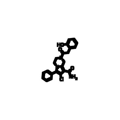 NC(=O)c1c(Cl)c(-c2ccccc2)n2c1CN(C(=O)Cc1ccccc1O)CC2